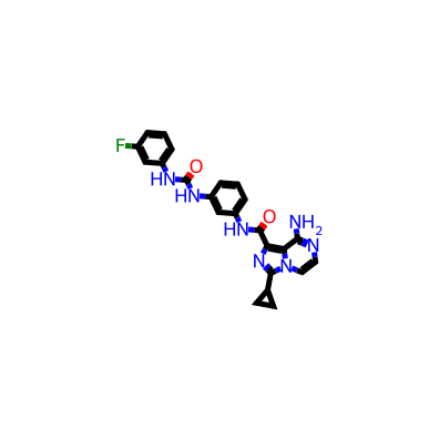 Nc1nccn2c(C3CC3)nc(C(=O)Nc3cccc(NC(=O)Nc4cccc(F)c4)c3)c12